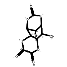 O=C1OC2C(O)C(O1)C1OC(=O)C(=O)OC1C2O